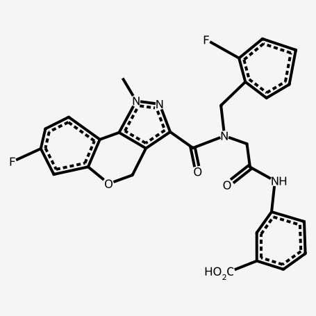 Cn1nc(C(=O)N(CC(=O)Nc2cccc(C(=O)O)c2)Cc2ccccc2F)c2c1-c1ccc(F)cc1OC2